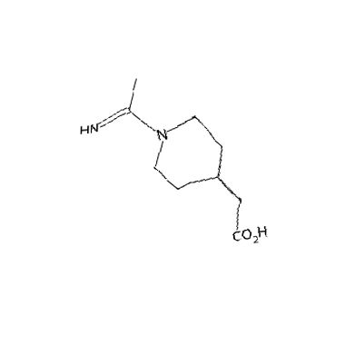 CC(=N)N1CCC(CC(=O)O)CC1